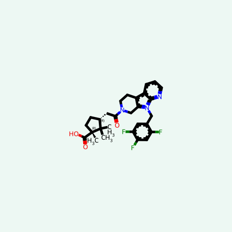 CC1(C)[C@@H](CC(=O)N2CCc3c(n(Cc4cc(F)c(F)cc4F)c4ncccc34)C2)CC[C@@]1(C)C(=O)O